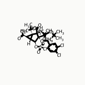 CC(C)(C)OC(=O)N[C@]1(C(=O)O)[C@@]2(C(C)(C)C)[C@@H]([C@H]2C(=O)O)[C@@H](OS(C)(=O)=O)[C@]1(OCc1ccc(Cl)c(Cl)c1)C(C)(C)C